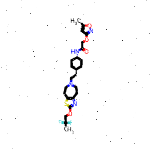 Cc1cc(OCC(=O)N[C@H]2CC[C@H](CCN3CCc4nc(OCC(C)(F)F)sc4CC3)CC2)no1